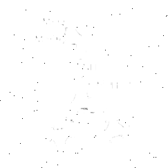 COc1ccc(CCNCC(O)c2ccc(OCc3ccccc3)c(OCc3ccccc3)c2)cc1OC.Cl